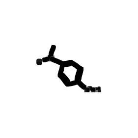 [CH2]CCCCc1ccc([S+](C)[O-])cc1